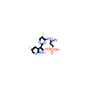 CC(C)[C@@H](CCP(=O)(O)O)Nc1nc(-c2c[nH]c3ncc(F)cc23)ncc1F